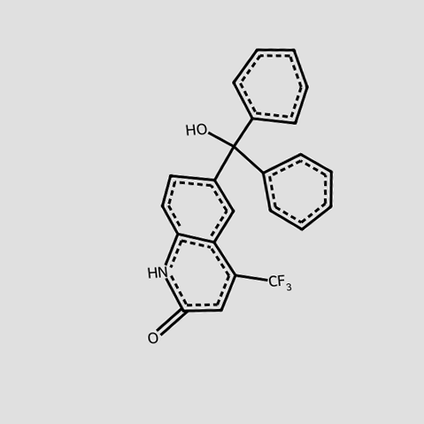 O=c1cc(C(F)(F)F)c2cc(C(O)(c3ccccc3)c3ccccc3)ccc2[nH]1